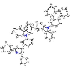 c1ccc(-c2cc(-c3cccc(-n4c5ccccc5c5ccc(-c6ccc7c(c6)c6ccccc6n7-c6ccc7c8ccccc8c8ccccc8c7c6)cc54)c3)cc(-c3ccccc3)n2)cc1